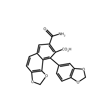 NC(=O)c1cc2ccc3c(c2c(-c2ccc4c(c2)OCO4)c1C(=O)O)OCO3